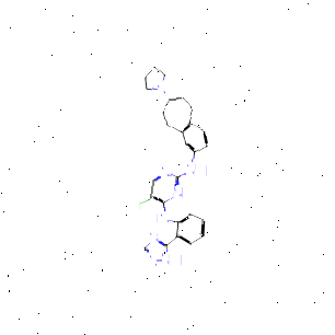 Clc1cnc(Nc2ccc3c(c2)CC[C@@H](N2CCCC2)CC3)nc1Nc1ccccc1-c1ncn[nH]1